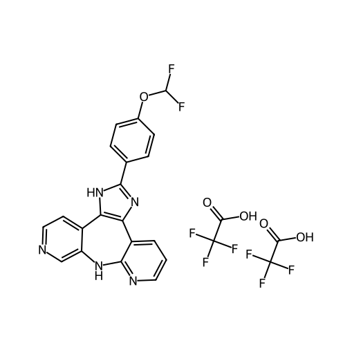 FC(F)Oc1ccc(-c2nc3c([nH]2)-c2ccncc2Nc2ncccc2-3)cc1.O=C(O)C(F)(F)F.O=C(O)C(F)(F)F